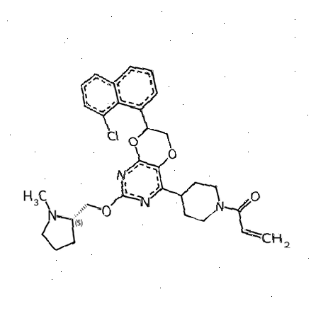 C=CC(=O)N1CCC(c2nc(OC[C@@H]3CCCN3C)nc3c2OCC(c2cccc4cccc(Cl)c24)O3)CC1